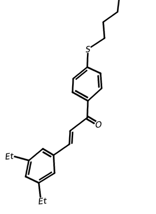 CCCCCCCCCCCCCSc1ccc(C(=O)/C=C/c2cc(CC)cc(CC)c2)cc1